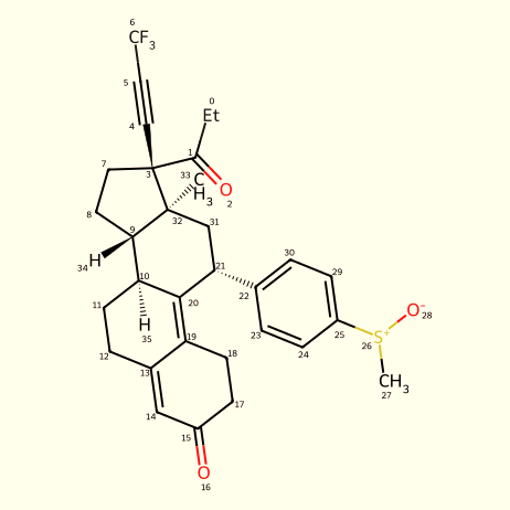 CCC(=O)[C@@]1(C#CC(F)(F)F)CC[C@H]2[C@@H]3CCC4=CC(=O)CCC4=C3[C@@H](c3ccc([S+](C)[O-])cc3)C[C@@]21C